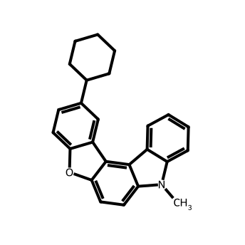 Cn1c2ccccc2c2c3c(ccc21)oc1ccc(C2CCCCC2)cc13